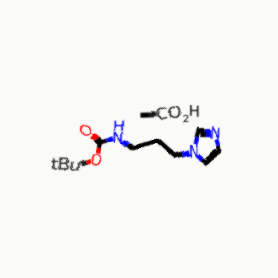 CC(=O)O.CC(C)(C)OC(=O)NCCCn1ccnc1